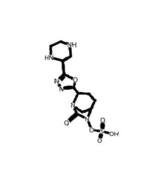 O=C1N2CC(CCC2c2nnc(C3CNCCN3)o2)N1OS(=O)(=O)O